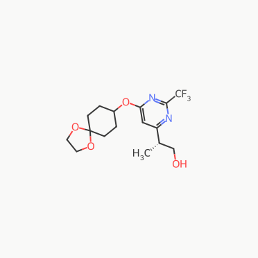 C[C@@H](CO)c1cc(OC2CCC3(CC2)OCCO3)nc(C(F)(F)F)n1